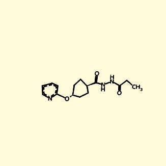 CCC(=O)NNC(=O)[C@H]1CC[C@H](Oc2ccccn2)CC1